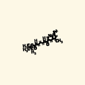 Cc1cn(SI)c2ncc(C(=O)NCCCNC(=O)OC(C)(C)C)cc12